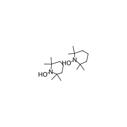 CC1(C)CCCC(C)(C)N1O.CC1(C)CCCC(C)(C)N1O